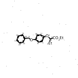 CCOC(=O)C(CC)Oc1ccc(OCc2ccccc2)cc1